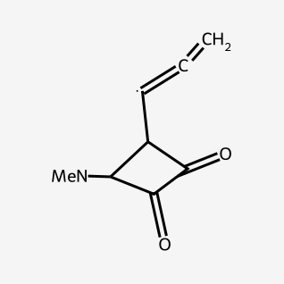 C=C=[C]C1C(=O)C(=O)C1NC